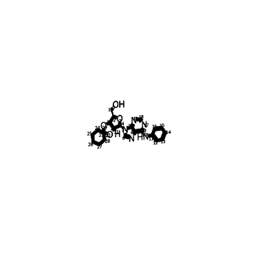 OC[C@H]1O[C@@H](n2cnc3c(Nc4ccccc4)ncnc32)[C@H]2OC3(CCCCC3)OC12